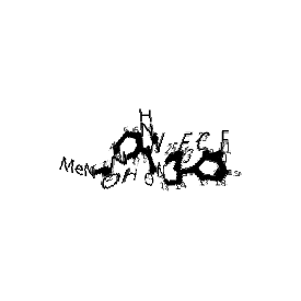 CNC(O)N1CCc2[nH]nc(C(=O)N3CCC(c4cccc(F)c4C(F)(F)F)CC3)c2C1